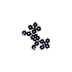 c1ccc(-c2c(-c3ccccc3)n(-c3ccccc3)c3cc(N(c4ccc(-c5cccnc5)cc4)c4ccc5ccc6c(N(c7ccc(-c8cccnc8)cc7)c7ccc8c(-c9ccccc9)c(-c9ccccc9)n(-c9ccccc9)c8c7)ccc7ccc4c5c76)ccc23)cc1